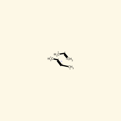 [CH2]/C=C/C.[CH2]C=C